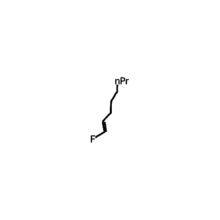 [CH2]CCCCCC=CF